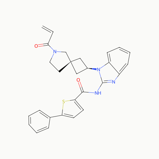 C=CC(=O)N1CC[C@]2(C1)C[C@H](n1c(NC(=O)c3ccc(-c4ccccc4)s3)nc3ccccc31)C2